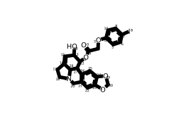 O=C(COc1ccc(I)cc1)OC1C(O)C=C2CCN3Cc4cc5c(cc4C1C23)OCO5